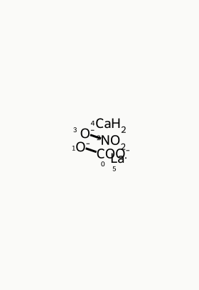 O=C([O-])[O-].O=[N+]([O-])[O-].[CaH2].[La]